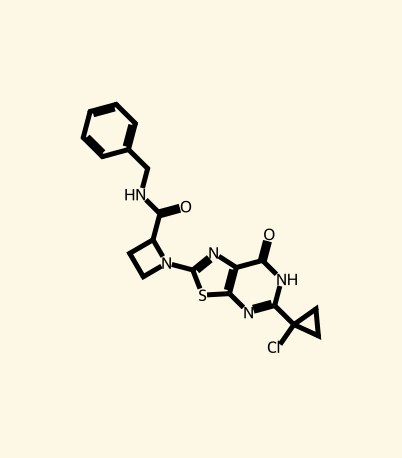 O=C(NCc1ccccc1)C1CCN1c1nc2c(=O)[nH]c(C3(Cl)CC3)nc2s1